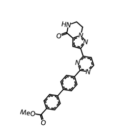 COC(=O)c1ccc(-c2ccc(-c3nccc(-c4cc5n(n4)CCNC5=O)n3)cc2)cc1